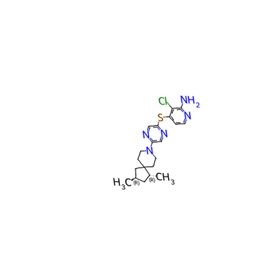 C[C@@H]1C[C@@H](C)C2(CCN(c3cnc(Sc4ccnc(N)c4Cl)cn3)CC2)C1